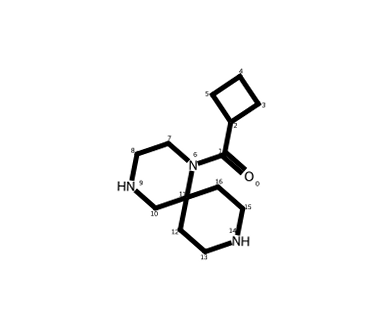 O=C(C1CCC1)N1CCNCC12CCNCC2